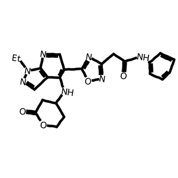 CCn1ncc2c(NC3CCOC(=O)C3)c(-c3nc(CC(=O)Nc4ccccc4)no3)cnc21